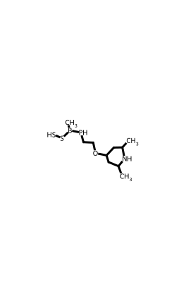 CB(PCCOC1CC(C)NC(C)C1)SS